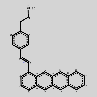 CCCCCCCCCCCCc1ccc(/C=C/c2cccc3cc4cc5ccccc5cc4cc23)cc1